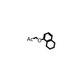 CC(=O)COc1cccc2c1CCCC2